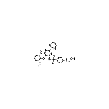 COc1ccccc1Oc1c(NS(=O)(=O)c2ccc(C(C)(C)CO)cc2)nc(-c2ncccn2)nc1OC